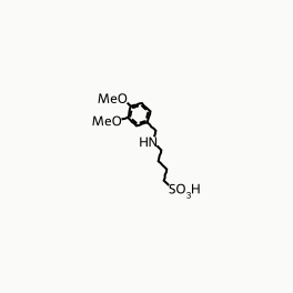 COc1ccc(CNCCCCS(=O)(=O)O)cc1OC